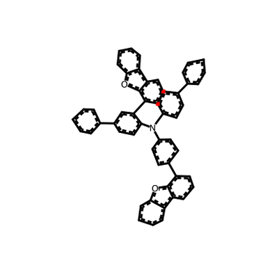 c1ccc(-c2ccc(N(c3ccc(-c4cccc5c4oc4ccccc45)cc3)c3ccc(-c4ccccc4)cc3-c3cccc4c3oc3ccccc34)cc2)cc1